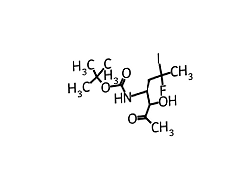 CC(=O)C(O)[C@H](CC(C)(F)I)NC(=O)OC(C)(C)C